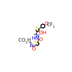 CC(=NNC(=O)c1ccc(C(=O)N(C)CCC(=O)O)s1)c1csc(-c2ccc(OC(F)(F)F)cc2)c1O